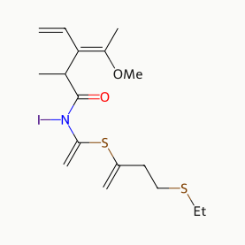 C=C/C(=C(\C)OC)C(C)C(=O)N(I)C(=C)SC(=C)CCSCC